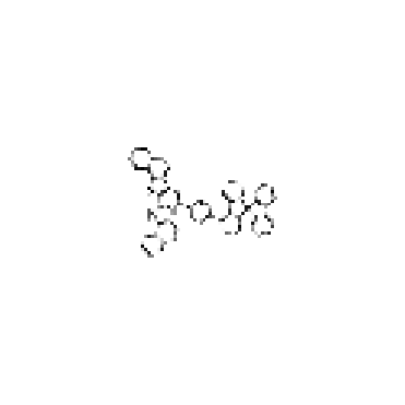 c1ccc(C2(c3ccccc3)c3ccccc3-c3c(-c4ccc(-c5cc6c7ccc8ccccc8c7sc6c6nc7c8ccccc8ccc7n56)cc4)cccc32)cc1